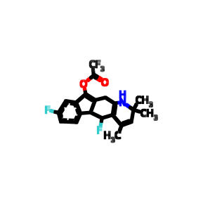 CC1=CC(C)(C)NC2=C1C(F)C1C(=C(OC(=O)C(F)(F)F)c3cc(F)ccc31)C2